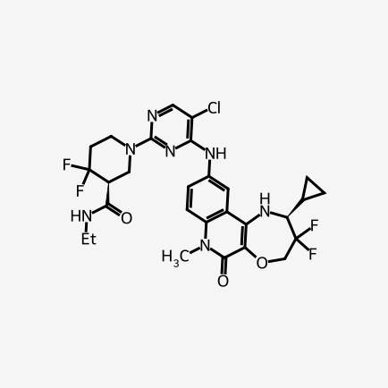 CCNC(=O)[C@@H]1CN(c2ncc(Cl)c(Nc3ccc4c(c3)c3c(c(=O)n4C)OCC(F)(F)[C@H](C4CC4)N3)n2)CCC1(F)F